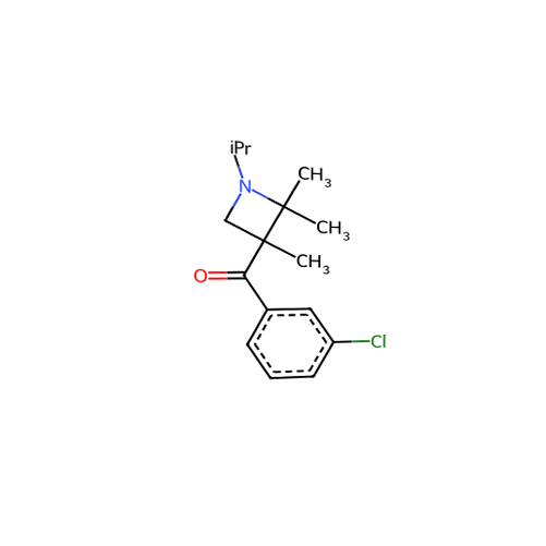 CC(C)N1CC(C)(C(=O)c2cccc(Cl)c2)C1(C)C